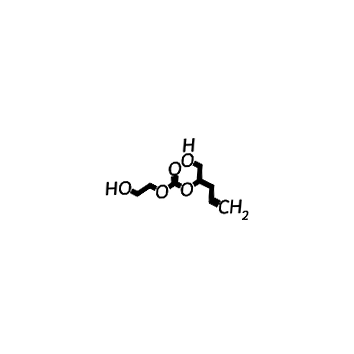 C=CCC(CO)OC(=O)OCCO